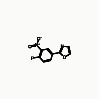 O=[N+]([O-])c1cc(-c2ncco2)ccc1F